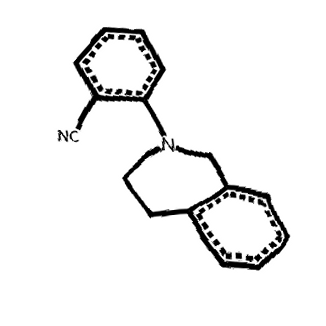 N#Cc1ccccc1N1CCc2ccccc2C1